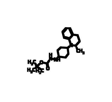 C[C@@H]1CCc2ccccc2N1C1CCC(NNC(=O)OC(C)(C)C)CC1